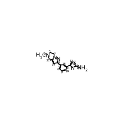 CN1CCn2nc(-c3cccc(-c4csc(N)n4)c3)cc2C1